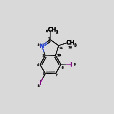 CC1=Nc2cc(I)cc(I)c2C1C